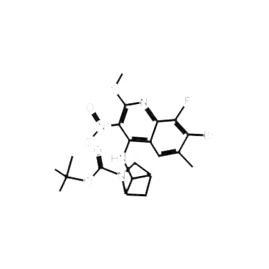 CSc1nc2c(F)c(Br)c(C)cc2c(NC2C3CC2N(C(=O)OC(C)(C)C)C3)c1[N+](=O)[O-]